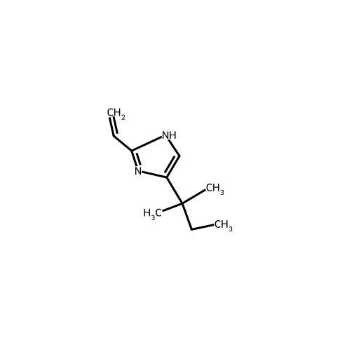 C=Cc1nc(C(C)(C)CC)c[nH]1